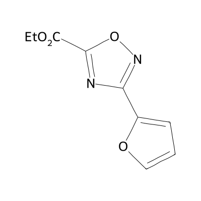 CCOC(=O)c1nc(-c2ccco2)no1